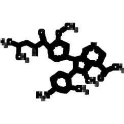 COc1cc(-c2c(-c3ccc(N)cc3C)n(C)c3c(C(C)=O)cn[c]c23)ccc1C(=O)NCC(C)C